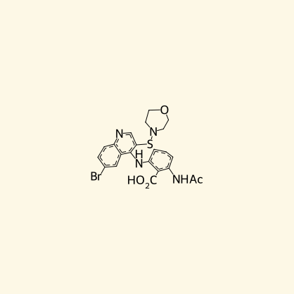 CC(=O)Nc1cccc(Nc2c(SN3CCOCC3)cnc3ccc(Br)cc23)c1C(=O)O